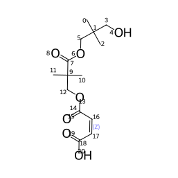 CC(C)(CO)COC(=O)C(C)(C)COC(=O)/C=C\C(=O)O